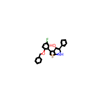 OC1=C(c2ccccc2)CNc2scc(-c3cc(F)ccc3OCc3ccccc3)c21